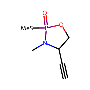 C#CC1COP(=O)(SC)N1C